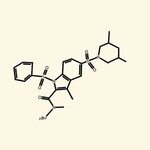 CCCCN(C)C(=O)c1c(C)c2cc(S(=O)(=O)N3CC(C)CC(C)C3)ccc2n1S(=O)(=O)c1ccccc1